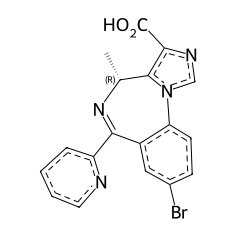 C[C@H]1N=C(c2ccccn2)c2cc(Br)ccc2-n2cnc(C(=O)O)c21